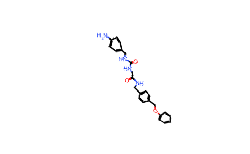 Nc1ccc(CNC(=O)NCC(=O)NCc2ccc(COc3ccccc3)cc2)cc1